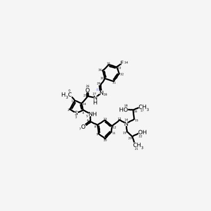 Cc1csc(NC(=O)c2cccc(CN(CC(C)O)CC(C)O)c2)c1C(=O)N/N=C/c1ccc(F)cc1